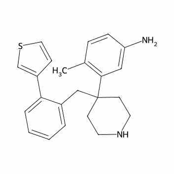 Cc1ccc(N)cc1C1(Cc2ccccc2-c2ccsc2)CCNCC1